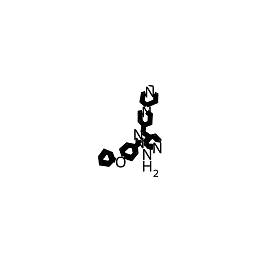 CN1CCC(N2CCC(c3nn(-c4ccc(Oc5ccccc5)cc4)c4c(N)nccc34)CC2)CC1